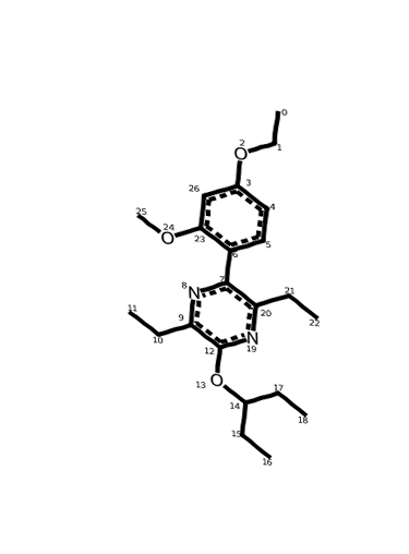 CCOc1ccc(-c2nc(CC)c(OC(CC)CC)nc2CC)c(OC)c1